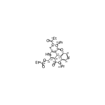 CCC(=O)OCC1=C(C(=O)OC(C)C)C(c2ccncc2)C(C(=O)OC(C)C)=C(COC(=O)CC)N1